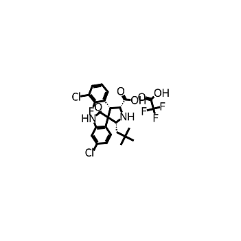 CC(C)(C)C[C@H]1N[C@@H](C(=O)O)[C@@H](c2cccc(Cl)c2F)C12C(=O)Nc1cc(Cl)ccc12.O=C(O)C(F)(F)F